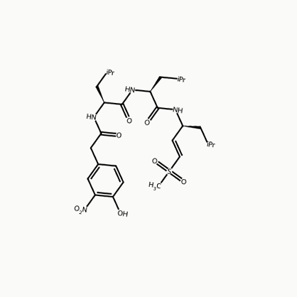 CC(C)C[C@@H](/C=C/S(C)(=O)=O)NC(=O)[C@H](CC(C)C)NC(=O)[C@H](CC(C)C)NC(=O)Cc1ccc(O)c([N+](=O)[O-])c1